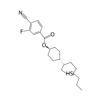 CCC[SiH]1CCC([C@H]2CC[C@H](OC(=O)c3ccc(C#N)c(F)c3)CC2)CC1